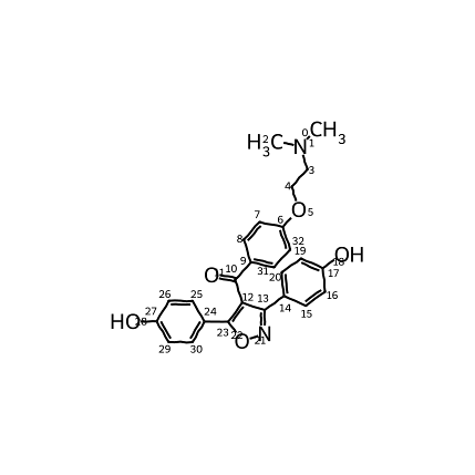 CN(C)CCOc1ccc(C(=O)c2c(-c3ccc(O)cc3)noc2-c2ccc(O)cc2)cc1